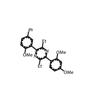 CCc1nc(-c2cc(C(C)C)ccc2OC)c(CC)nc1-c1ccc(OC)cc1OC